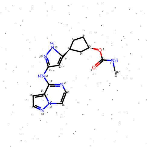 CC(C)NC(=O)O[C@@H]1CC[C@H](c2cc(Nc3nccn4nccc34)n[nH]2)C1